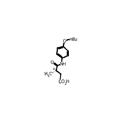 CCCCOc1ccc(NC(=O)[C@@H](C)CC(=O)O)cc1